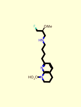 CO[C@H](CF)CNCCCCc1ccc2c(n1)N(C(=O)O)CCC2